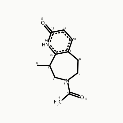 CC1CN(C(=O)C(F)(F)F)CCc2ccc(=O)[nH]c21